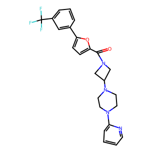 O=C(c1ccc(-c2cccc(C(F)(F)F)c2)o1)N1CC(N2CCN(c3ccccn3)CC2)C1